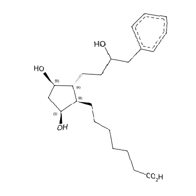 O=C(O)CCCCCC[C@@H]1[C@@H](CCC(O)Cc2ccccc2)[C@H](O)C[C@@H]1O